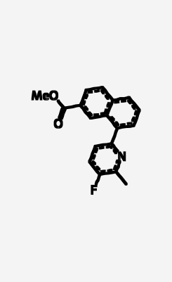 COC(=O)c1ccc2cccc(-c3ccc(F)c(C)n3)c2c1